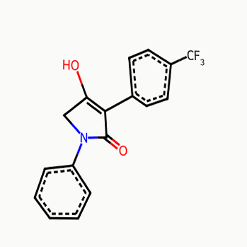 O=C1C(c2ccc(C(F)(F)F)cc2)=C(O)CN1c1ccccc1